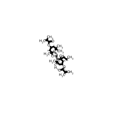 C=C(C)C(=O)OC1CC(C)(C)N(SSN2C(C)(C)CC(OC(=O)C(=C)C)CC2(C)CCC)C(C)(C)C1